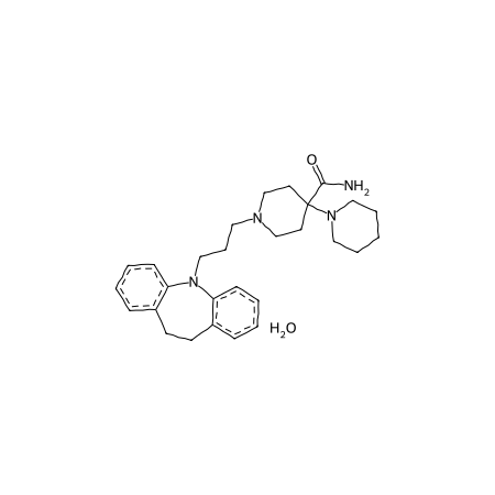 NC(=O)C1(N2CCCCC2)CCN(CCCN2c3ccccc3CCc3ccccc32)CC1.O